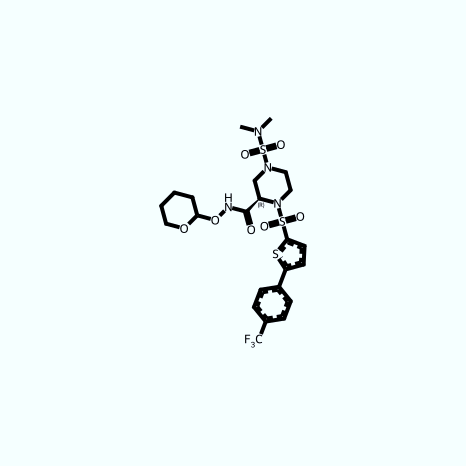 CN(C)S(=O)(=O)N1CCN(S(=O)(=O)c2ccc(-c3ccc(C(F)(F)F)cc3)s2)[C@@H](C(=O)NOC2CCCCO2)C1